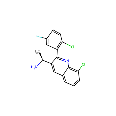 C[C@H](N)c1cc2cccc(Cl)c2nc1-c1cc(F)ccc1Cl